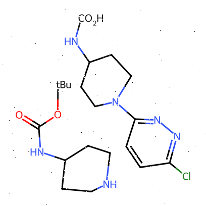 CC(C)(C)OC(=O)NC1CCNCC1.O=C(O)NC1CCN(c2ccc(Cl)nn2)CC1